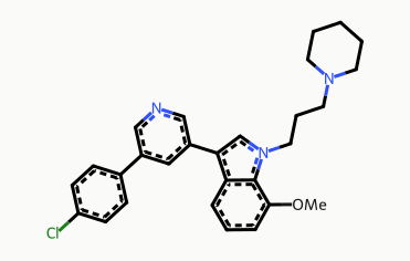 COc1cccc2c(-c3cncc(-c4ccc(Cl)cc4)c3)cn(CCCN3CCCCC3)c12